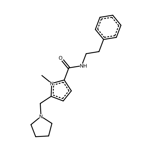 Cn1c(CN2CCCC2)ccc1C(=O)NCCc1ccccc1